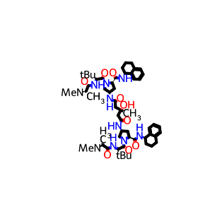 CN[C@@H](C)C(=O)N[C@H](C(=O)N1C[C@@H](NC(=O)CC(C)(O)CC(=O)N[C@H]2C[C@@H](C(=O)N[C@@H]3CCCc4ccccc43)N(C(=O)[C@@H](NC(=O)[C@H](C)NC)C(C)(C)C)C2)C[C@H]1C(=O)N[C@@H]1CCCc2ccccc21)C(C)(C)C